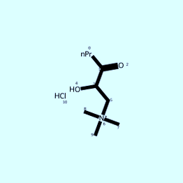 CCCC(=O)C(O)C[N+](C)(C)C.Cl